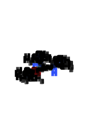 CN1C(C)(C)CC(NCCCCC(CCC(=O)OC2CC(C)(C)N(C)C(C)(C)C2)CNC2CC(C)(C)N(C)C(C)(C)C2)CC1(C)C